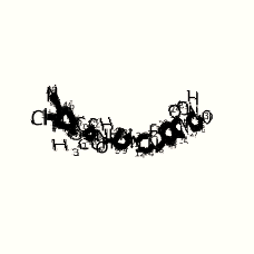 CC1(C)C(NC(=O)c2ccc(N3CCN(Cc4cc5c(cc4F)C(=O)N(C4CCC(=O)NC4=O)C5)CC3)nc2)C(C)(C)C1Oc1ccc(C#N)c(Cl)c1